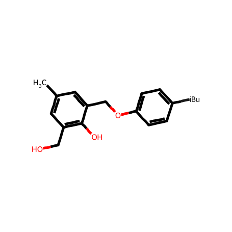 CCC(C)c1ccc(OCc2cc(C)cc(CO)c2O)cc1